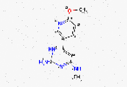 CNC1=NC(N)NC(c2ccc(OC)nc2)=C1